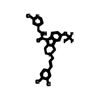 O=C(NCc1ccnc(Cl)c1)n1c2c(c3cc(OC(F)(F)F)ccc31)CN(CC=Cc1ccc(Cl)c(Cl)c1)CC2